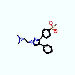 CN(C)CCn1cc(-c2ccccc2)c(-c2ccc(S(C)(=O)=O)cc2)n1